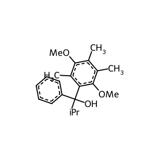 COc1c(C)c(C)c(OC)c(C(O)(c2ccccc2)C(C)C)c1C